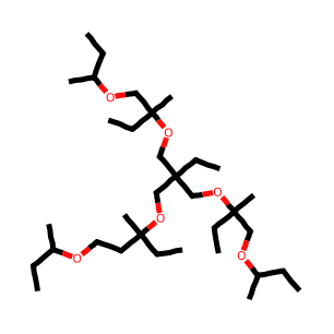 CCC(C)OCCC(C)(CC)OCC(CC)(COC(C)(CC)COC(C)CC)COC(C)(CC)COC(C)CC